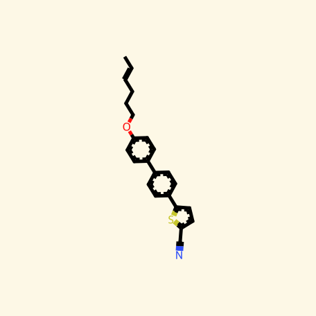 CC=CCCCOc1ccc(-c2ccc(-c3ccc(C#N)s3)cc2)cc1